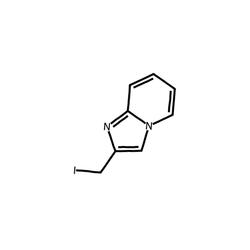 ICc1cn2ccccc2n1